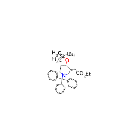 CCOC(=O)C=C1CN(C(c2ccccc2)(c2ccccc2)c2ccccc2)CCC1O[Si](C)(C)C(C)(C)C